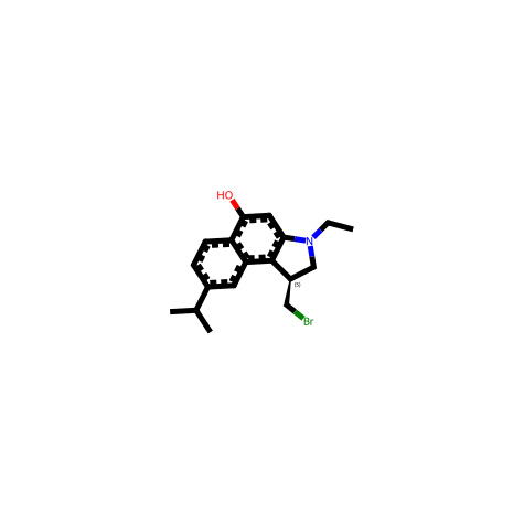 CCN1C[C@@H](CBr)c2c1cc(O)c1ccc(C(C)C)cc21